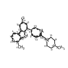 Cc1nccc2c1[nH]c1c(-c3ccc(N4CCN(C)CC4)nc3)cc(Cl)cc12